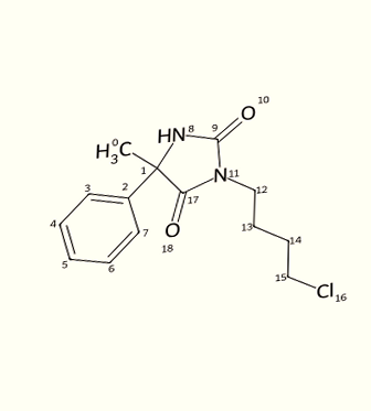 CC1(c2ccccc2)NC(=O)N(CCCCCl)C1=O